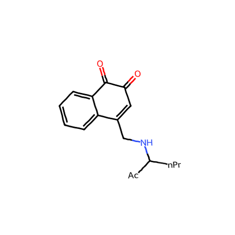 CCCC(NCC1=CC(=O)C(=O)c2ccccc21)C(C)=O